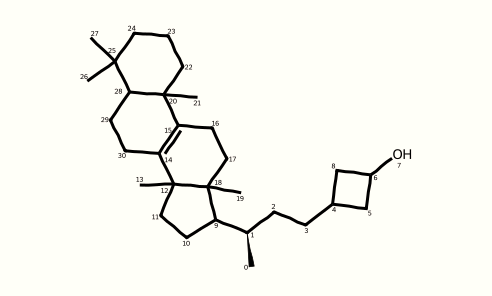 C[C@H](CCC1CC(O)C1)C1CCC2(C)C3=C(CCC12C)C1(C)CCCC(C)(C)C1CC3